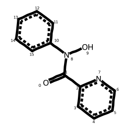 O=C(c1ccccn1)N(O)c1ccccc1